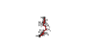 CC(C=CC=C(C)C=CC1=C(C)C(=O)C(OC(=O)NCCS(=O)(=O)O)CC1(C)C)=CC=CC=C(C)C=CC=C(C)C=CC1=C(C)C(=O)C(OC(=O)NCCS(=O)(=O)O)CC1(C)C